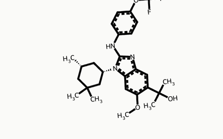 COc1cc2c(cc1C(C)(C)O)nc(Nc1ccc(OC(F)(F)F)cc1)n2[C@H]1C[C@@H](C)CC(C)(C)C1